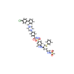 Cc1cc(S(=O)(=O)NC(=O)c2ccc(N3CCN(Cc4ccccc4-c4ccc(Cl)cc4)CC3)cc2)ccc1N[C@H](CCCCNS(C)(=O)=O)CSc1ccccc1